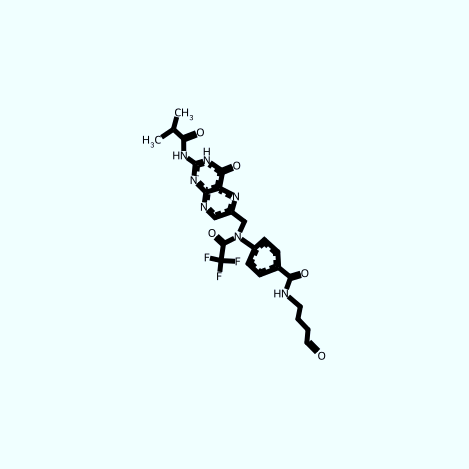 CC(C)C(=O)Nc1nc2ncc(CN(C(=O)C(F)(F)F)c3ccc(C(=O)NCCCC=O)cc3)nc2c(=O)[nH]1